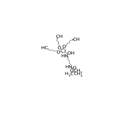 C#CCCCCOc1cc(C(O)NCCCCCNC(=O)OC(C)(C)C)cc(OCCCCC#C)c1OCCCCC#C